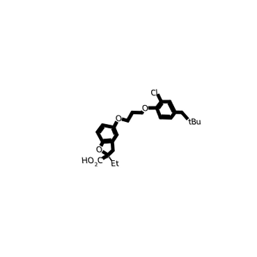 CC[C@@]1(C(=O)O)Cc2cc(OCCCOc3ccc(CC(C)(C)C)cc3Cl)ccc2O1